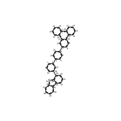 c1cc(-c2ccc(-c3ccc4c5ccccc5c5ccccc5c4c3)cc2)cc(-c2cccc3c2sc2ccccc23)c1